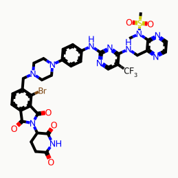 CN(c1nccnc1CNc1nc(Nc2ccc(N3CCN(Cc4ccc5c(c4Br)C(=O)N(C4CCC(=O)NC4=O)C5=O)CC3)cc2)ncc1C(F)(F)F)S(C)(=O)=O